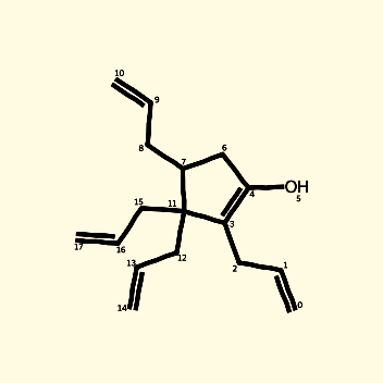 C=CCC1=C(O)CC(CC=C)C1(CC=C)CC=C